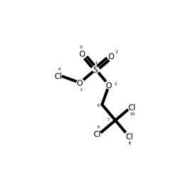 O=S(=O)(OCl)OCC(Cl)(Cl)Cl